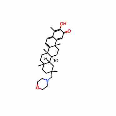 CC[C@@]12CC[C@@]3(C)C4=CC(=O)C(O)=C(C)C4=CC=C3[C@@]1(C)CC[C@@]1(C)CC[C@@](C)(CN3CCOCC3)C[C@H]12